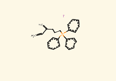 C=CC(=C)CCC[P+](c1ccccc1)(c1ccccc1)c1ccccc1.[I-]